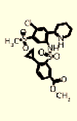 COC(=O)c1ccc(C2CC2)c(S(=O)(=O)Nc2cc(S(C)(=O)=O)c(Cl)cc2C2CCCCN2)c1